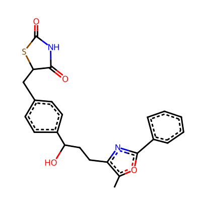 Cc1oc(-c2ccccc2)nc1CCC(O)c1ccc(CC2SC(=O)NC2=O)cc1